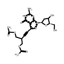 CC(=O)OCC(C#Cc1nn([C@H]2CC(O)[C@@H](CO)O2)c2nc(N)[nH]c(=O)c12)COC(C)=O